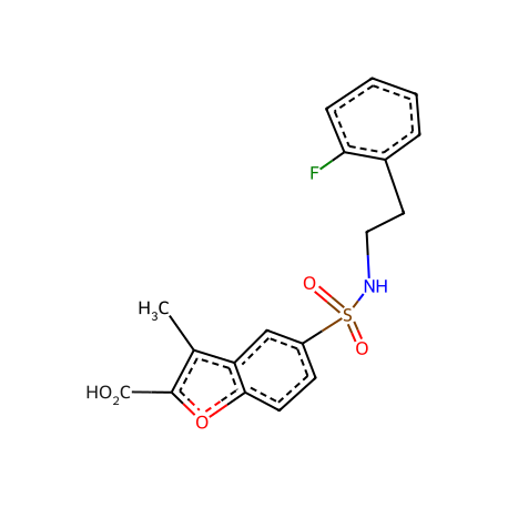 Cc1c(C(=O)O)oc2ccc(S(=O)(=O)NCCc3ccccc3F)cc12